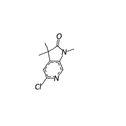 CN1C(=O)C(C)(C)c2cc(Cl)ncc21